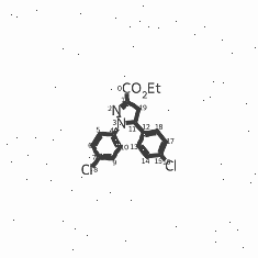 CCOC(=O)C1=NN(c2ccc(Cl)cc2)C(c2ccc(Cl)cc2)C1